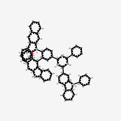 c1ccc(-c2nc(-c3ccc(-n4c5ccccc5c5cc6ccccc6cc54)c(-c4c5ccccc5cc5sc6ccccc6c45)c3)nc(-c3ccc4c5ccccc5n(-c5ccccc5)c4c3)n2)cc1